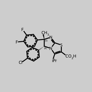 CC(C)C1=C(C(=O)O)SC2=N[C@@](C)(c3ccc(F)c(F)c3)[C@@H](c3ccc(Cl)cc3)N21